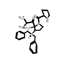 CC(N)C(=O)C1(C(=O)O)C(P(=O)(Cc2ccccc2)Cc2ccccc2)CCN1C(=O)C1CCCN1